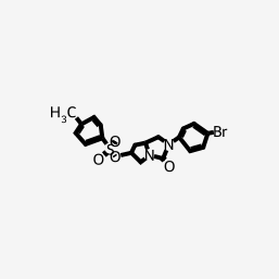 Cc1ccc(S(=O)(=O)OC2CC3CN(c4ccc(Br)cc4)C(=O)N3C2)cc1